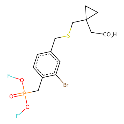 O=C(O)CC1(CSCc2ccc(CP(=O)(OF)OF)c(Br)c2)CC1